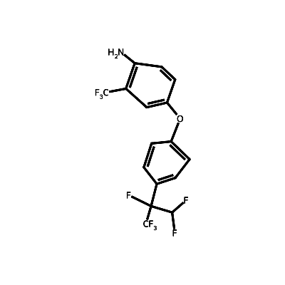 Nc1ccc(Oc2ccc(C(F)(C(F)F)C(F)(F)F)cc2)cc1C(F)(F)F